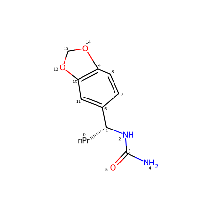 CCC[C@@H](NC(N)=O)c1ccc2c(c1)OCO2